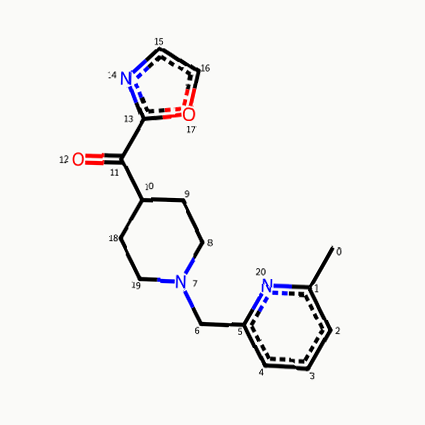 Cc1cccc(CN2CCC(C(=O)c3ncco3)CC2)n1